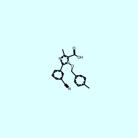 Cc1ccc(COn2c(-c3cccc(C#N)c3)nc(C)c2C(=O)O)cc1